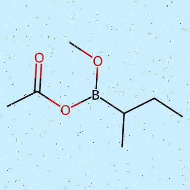 CCC(C)B(OC)OC(C)=O